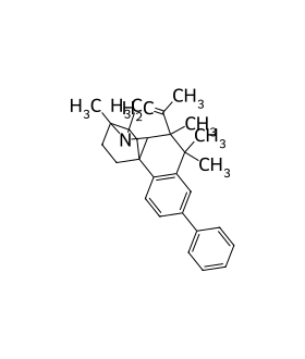 C=C(C)C1(C)C2N(C)C3(C)CCC2(CC3)c2ccc(-c3ccccc3)cc2C1(C)C